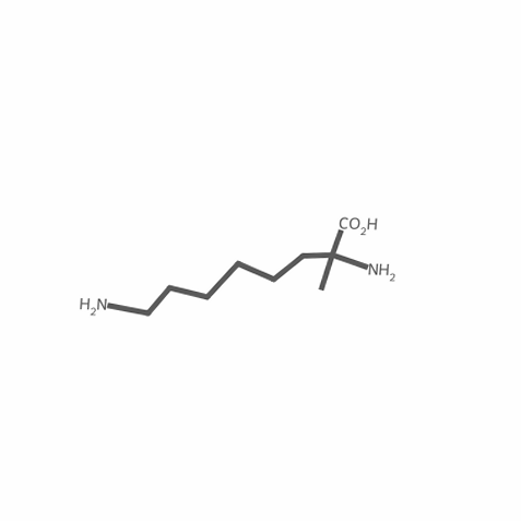 CC(N)(CCCCCCN)C(=O)O